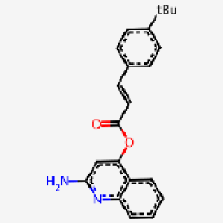 CC(C)(C)c1ccc(/C=C/C(=O)Oc2cc(N)nc3ccccc23)cc1